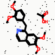 CC(=O)O.COc1ccc(Cc2nccc3cc(OC)c(OC)cc23)cc1OC